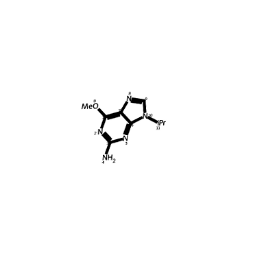 COc1nc(N)nc2c1ncn2C(C)C